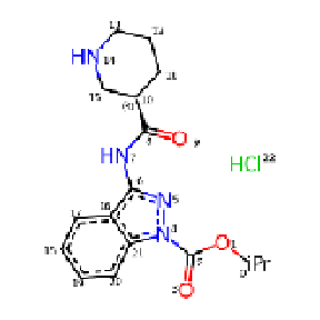 CC(C)OC(=O)n1nc(NC(=O)[C@@H]2CCCNC2)c2ccccc21.Cl